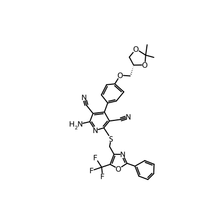 CC1(C)OC[C@@H](COc2ccc(-c3c(C#N)c(N)nc(SCc4nc(-c5ccccc5)oc4C(F)(F)F)c3C#N)cc2)O1